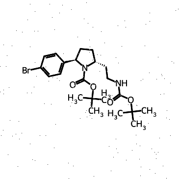 CC(C)(C)OC(=O)NCC[C@H]1CC[C@H](c2ccc(Br)cc2)N1C(=O)OC(C)(C)C